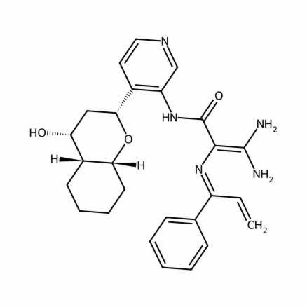 C=C/C(=N\C(C(=O)Nc1cnccc1[C@H]1C[C@@H](O)[C@H]2CCCC[C@H]2O1)=C(N)N)c1ccccc1